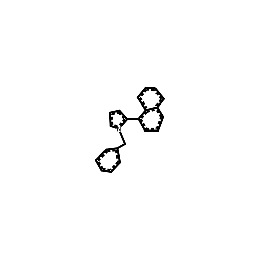 c1ccc(Cn2cccc2-c2cccc3ccccc23)cc1